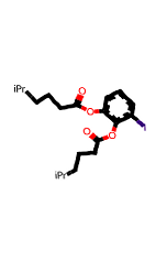 CC(C)CCCC(=O)Oc1cccc(I)c1OC(=O)CCCC(C)C